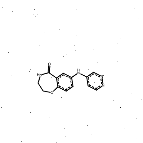 O=C1NCCOc2ccc(Nc3ccnnc3)cc21